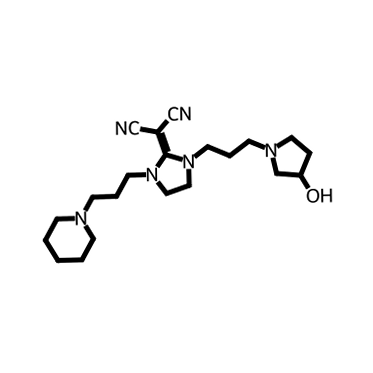 N#CC(C#N)=C1N(CCCN2CCCCC2)CCN1CCCN1CCC(O)C1